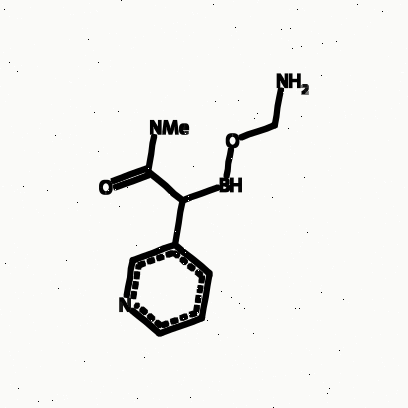 CNC(=O)C(BOCN)c1cccnc1